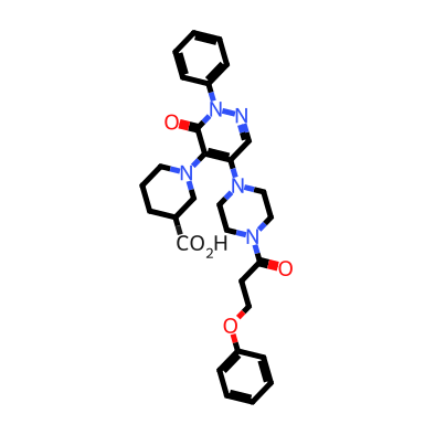 O=C(O)C1CCCN(c2c(N3CCN(C(=O)CCOc4ccccc4)CC3)cnn(-c3ccccc3)c2=O)C1